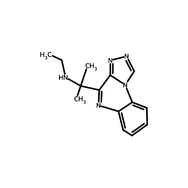 CCNC(C)(C)c1nc2ccccc2n2cnnc12